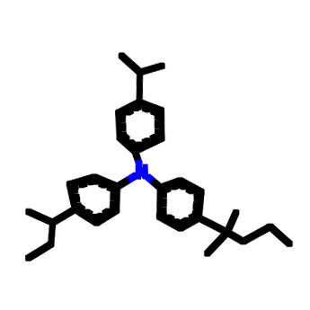 CCCC(C)(C)c1ccc(N(c2ccc(C(C)C)cc2)c2ccc(C(C)CC)cc2)cc1